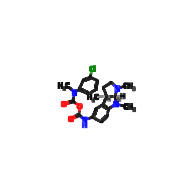 CN(C(=O)OC(=O)Nc1ccc2c(c1)[C@@]1(C)CCN(C)[C@H]1N2C)c1cccc(Cl)c1